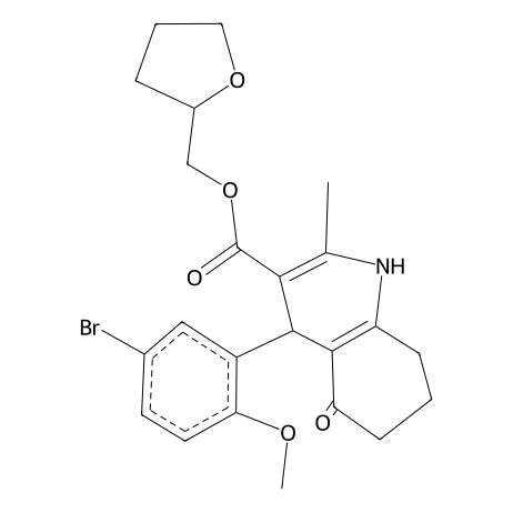 COc1ccc(Br)cc1C1C(C(=O)OCC2CCCO2)=C(C)NC2=C1C(=O)CCC2